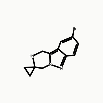 Brc1ccc2nn3c(c2c1)CNC1(CC1)C3